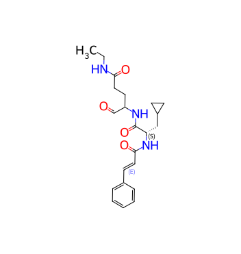 CCNC(=O)CCC(C=O)NC(=O)[C@H](CC1CC1)NC(=O)/C=C/c1ccccc1